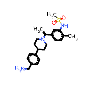 C=C(c1ccc(C)c(NS(C)(=O)=O)c1)N1CCC(c2ccc(CN)cc2)CC1